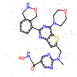 CN(Cc1cc2nc(-c3cccc4c3CONC4)nc(N3CCOCC3)c2s1)c1ncc(C(=O)NO)cn1